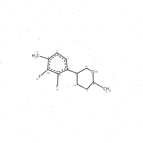 Cc1ccc(C2CCC(C)OC2)c(F)c1F